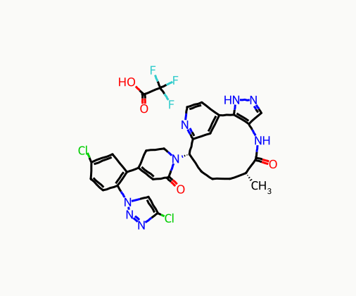 C[C@@H]1CCC[C@H](N2CCC(c3cc(Cl)ccc3-n3cc(Cl)nn3)=CC2=O)c2cc(ccn2)-c2[nH]ncc2NC1=O.O=C(O)C(F)(F)F